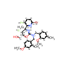 COc1ccc(CN(Cc2ccc(C)cc2OC)C2=N[C@](C)(c3nc(Br)ccc3F)[C@@H](F)[C@@H](CO)O2)c(C)c1